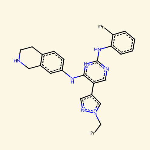 CC(C)Cn1cc(-c2cnc(Nc3ccccc3C(C)C)nc2Nc2ccc3c(c2)CNCC3)cn1